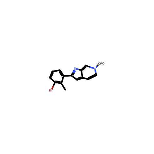 Cc1c(Br)cccc1-c1cc2ccn(C=O)cc-2n1